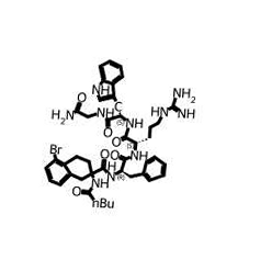 CCCCC(=O)NC1(C(=O)N[C@H](Cc2ccccc2)C(=O)N[C@@H](CCCNC(=N)N)C(=O)N[C@@H](Cc2c[nH]c3ccccc23)C(=O)NCC(N)=O)CCc2c(Br)cccc2C1